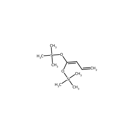 C=CC=C(O[Si](C)(C)C)O[Si](C)(C)C